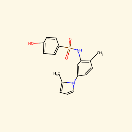 Cc1ccc(-n2cccc2C)cc1NS(=O)(=O)c1ccc(O)cc1